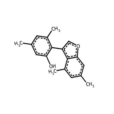 Cc1cc(C)c(-c2coc3cc(C)cc(C)c23)c(O)c1